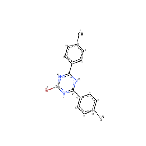 N#Cc1ccc(-c2nc(Br)nc(-c3ccc(C#N)cc3)n2)cc1